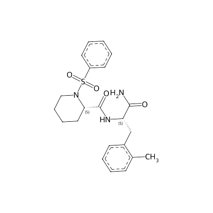 Cc1ccccc1C[C@H](NC(=O)[C@@H]1CCCCN1S(=O)(=O)c1ccccc1)C(N)=O